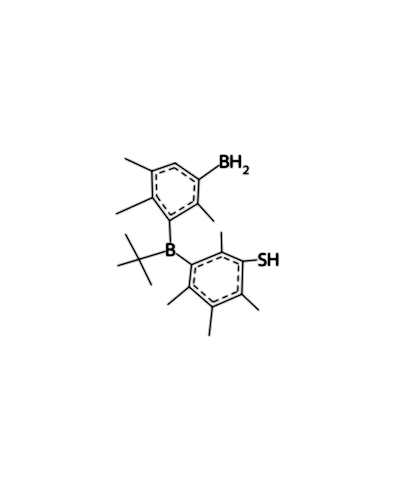 Bc1cc(C)c(C)c(B(c2c(C)c(C)c(C)c(S)c2C)C(C)(C)C)c1C